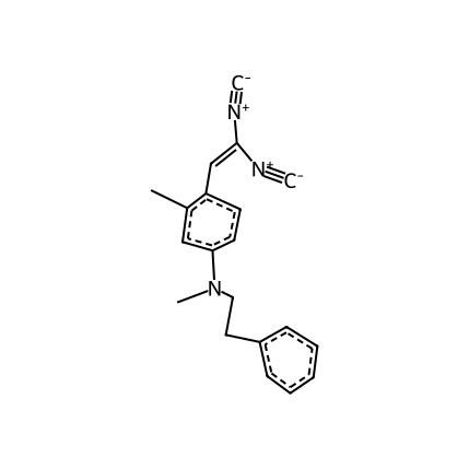 [C-]#[N+]C(=Cc1ccc(N(C)CCc2ccccc2)cc1C)[N+]#[C-]